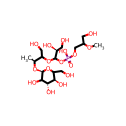 COC(CO)COP(=O)(O)OC(OC(CO)[C@H](C)O[C@H]1OC(CO)[C@@H](O)[C@H](O)C1O)[C@@H](O)CO